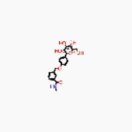 CNC(=O)c1cccc(COc2ccc(C3O[C@H](CO)[C@@H](O)[C@H](O)[C@@H]3O)cc2)c1